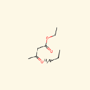 CCOC(=O)CC(C)=O.C[CH2][AlH2]